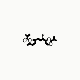 C=C/C(OC(=O)C(=C)C)=C(F)\C=C\C(=C)/C=C\C(=C)OC(=O)C(=C)C